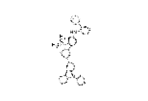 CC1(C)c2ccc(-c3ccc4c(c3)c3ccccc3n4-c3ccccc3)cc2-c2ccc(Nc3ccccc3-c3ccccc3)cc21